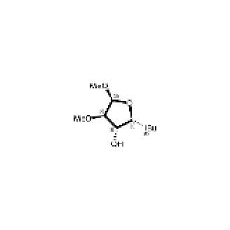 CC[C@@H](C)[C@@H]1O[C@H](OC)[C@H](OC)[C@H]1O